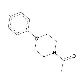 [CH2]C(=O)N1CCN(c2ccncc2)CC1